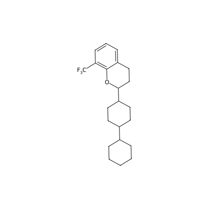 FC(F)(F)c1cccc2c1OC(C1CCC(C3CCCCC3)CC1)CC2